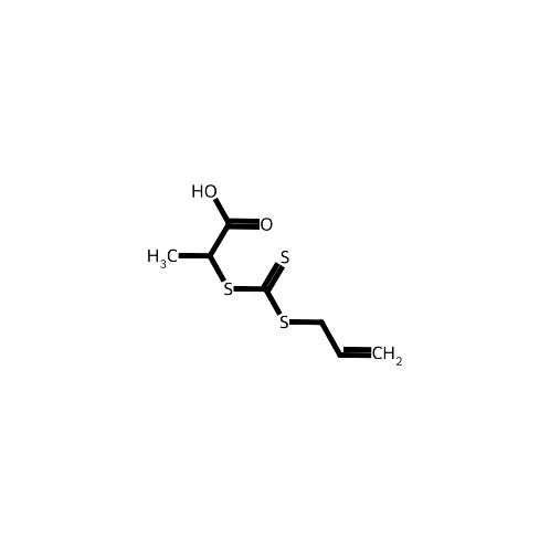 C=CCSC(=S)SC(C)C(=O)O